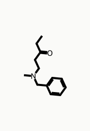 CCC(=O)CCN(C)Cc1ccccc1